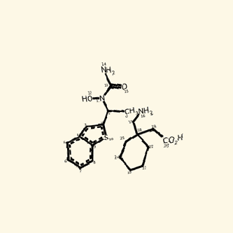 CC(c1cc2ccccc2s1)N(O)C(N)=O.NCC1(CC(=O)O)CCCCC1